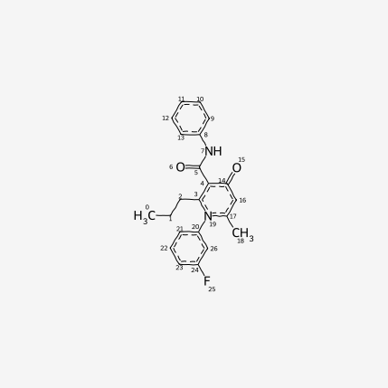 CCCc1c(C(=O)Nc2ccccc2)c(=O)cc(C)n1-c1cccc(F)c1